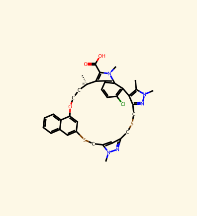 Cc1c2c(nn1C)CSCc1cc(n(C)n1)CSc1cc(c3ccccc3c1)OCC[C@H](C)c1c(C(=O)O)n(C)c3c-2c(Cl)ccc13